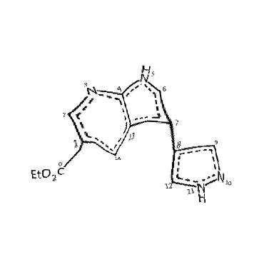 CCOC(=O)c1cnc2[nH]cc(-c3cn[nH]c3)c2c1